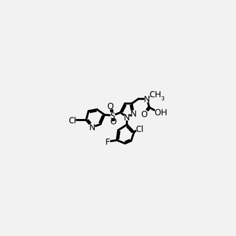 CN(Cc1cc(S(=O)(=O)c2ccc(Cl)nc2)n(-c2cc(F)ccc2Cl)n1)C(=O)O